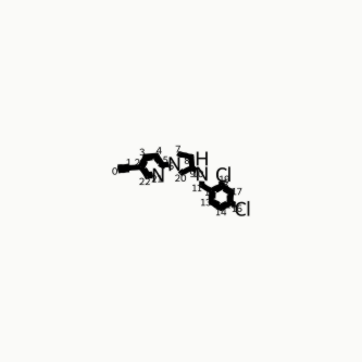 C#Cc1ccc(N2CCC(NCc3ccc(Cl)cc3Cl)C2)nc1